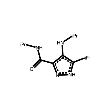 CC(C)NC(=O)c1n[nH]c(C(C)C)c1NC(C)C